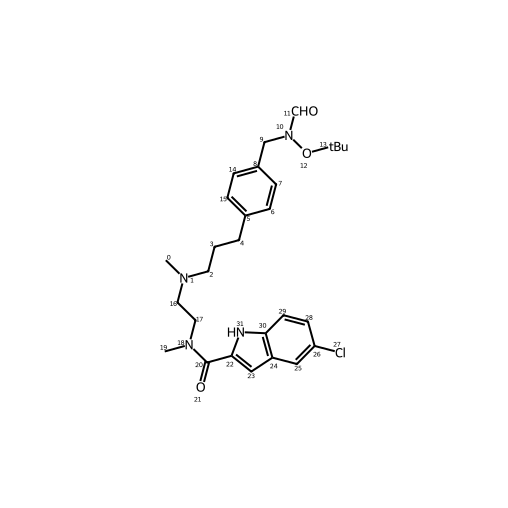 CN(CCCc1ccc(CN(C=O)OC(C)(C)C)cc1)CCN(C)C(=O)c1cc2cc(Cl)ccc2[nH]1